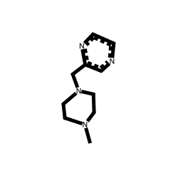 CN1CCN(Cc2cnccn2)CC1